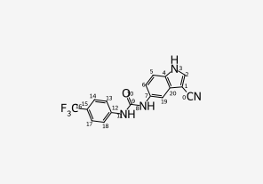 N#Cc1c[nH]c2ccc(NC(=O)Nc3ccc(C(F)(F)F)cc3)cc12